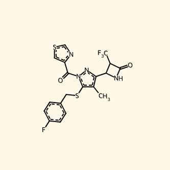 Cc1c(C2NC(=O)C2C(F)(F)F)nn(C(=O)c2cscn2)c1SCc1ccc(F)cc1